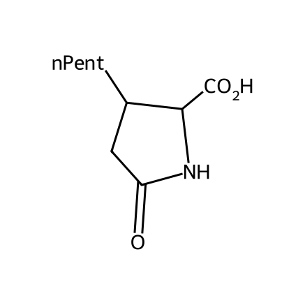 CCCCCC1CC(=O)NC1C(=O)O